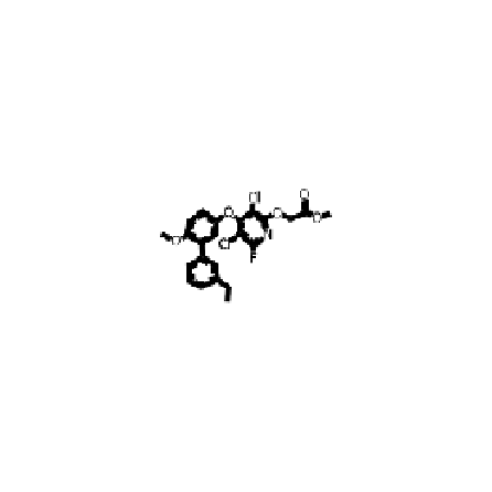 CCc1cccc(-c2cc(Oc3c(Cl)c(F)nc(OCC(=O)OC)c3Cl)ccc2OC)c1